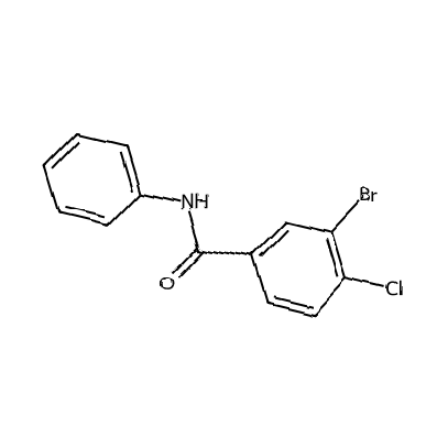 O=C(Nc1ccccc1)c1ccc(Cl)c(Br)c1